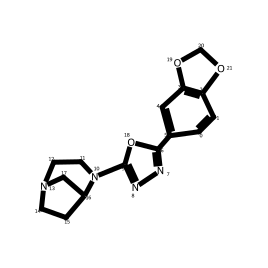 c1cc2c(cc1-c1nnc(N3CCN4CCC3C4)o1)OCO2